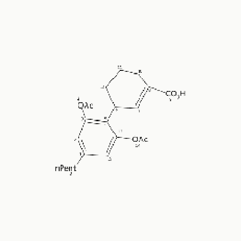 CCCCCc1cc(OC(C)=O)c(C2C=C(C(=O)O)CCC2)c(OC(C)=O)c1